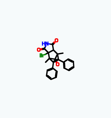 CC12C(=O)C(C)(C(c3ccccc3)=C1c1ccccc1)C1(Br)C(=O)NC(=O)C21